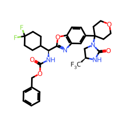 O=C(N[C@H](c1nc2cc(C3(N4C[C@H](C(F)(F)F)NC4=O)CCOCC3)ccc2o1)C1CCC(F)(F)CC1)OCc1ccccc1